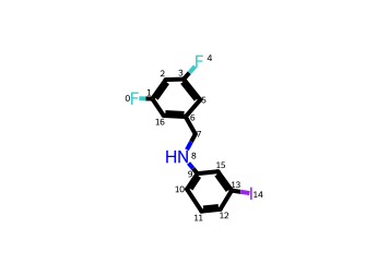 Fc1cc(F)cc(CNc2cccc(I)c2)c1